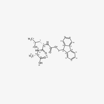 CC(C)C[C@H](NC(=O)OCC1c2ccccc2-c2ccccc21)C(=O)N[C@@H](C)C(=O)O